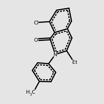 CCc1cc2cccc(Cl)c2c(=O)n1-c1ccc(C)cc1